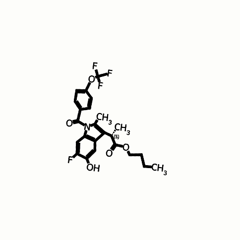 CCCCOC(=O)[C@@H](C)c1c(C)n(C(=O)c2ccc(OC(F)(F)F)cc2)c2cc(F)c(O)cc12